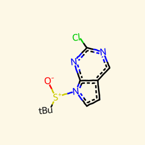 CC(C)(C)[S+]([O-])n1ccc2cnc(Cl)nc21